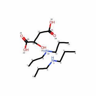 CCCNCCC.CCCNCCC.O=C(O)CC(O)C(=O)O